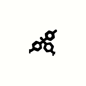 Cc1ccc(S(C)(C2C=CC(F)=CC2)C2CCC(F)CC2)cc1